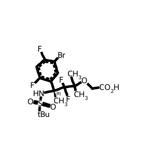 CC(C)(OCC(=O)O)C(F)(F)[C@](C)(NS(=O)(=O)C(C)(C)C)c1cc(Br)c(F)cc1F